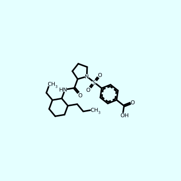 CCCC1CCCC(CC)C1NC(=O)C1CCCN1S(=O)(=O)c1ccc(C(=O)O)cc1